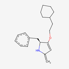 C=C1C=C(OCCC2CCCCC2)[C@H](Cc2ccccc2)N1